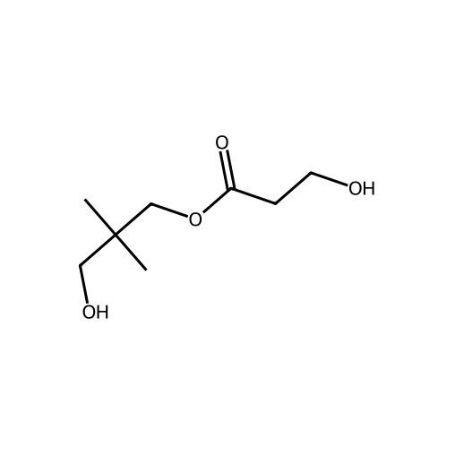 CC(C)(CO)COC(=O)CCO